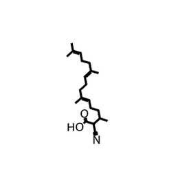 CC(C)=CCCC(C)=CCCC(C)=CCCC(C)C(C#N)C(=O)O